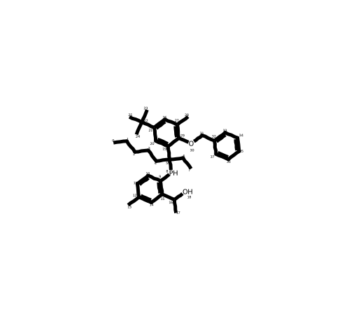 CCCCCC(CC)(Pc1ccc(C)cc1C(C)O)c1cc(C(C)(C)C)cc(C)c1OCc1ccccc1